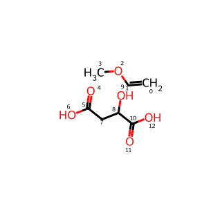 C=COC.O=C(O)CC(O)C(=O)O